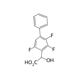 O=C(O)C(O)c1c(F)cc(-c2ccccc2)c(F)c1F